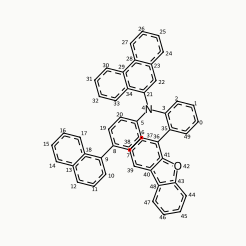 c1ccc(N(c2ccc(-c3cccc4ccccc34)cc2)c2cc3ccccc3c3ccccc23)c(-c2cccc3c2oc2ccccc23)c1